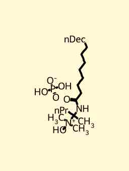 CCCCCCCCCCCCCCCCCC(=O)NC(C)(CCC)[N+](C)(C)O.O=P([O-])(O)O